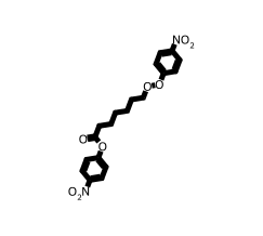 O=C(CCCCCCOOc1ccc([N+](=O)[O-])cc1)Oc1ccc([N+](=O)[O-])cc1